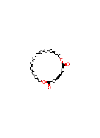 O=C1CC=CCC(=O)OCCCCCCCCCCCCO1